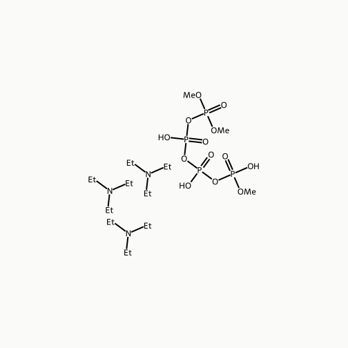 CCN(CC)CC.CCN(CC)CC.CCN(CC)CC.COP(=O)(O)OP(=O)(O)OP(=O)(O)OP(=O)(OC)OC